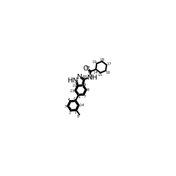 Cc1cccc(-c2ccc3c(NC(=O)C4CCCCC4)n[nH]c3c2)c1